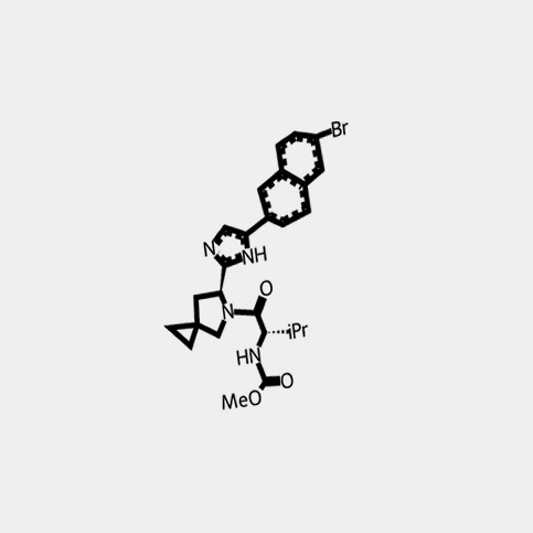 COC(=O)N[C@H](C(=O)N1CC2(CC2)C[C@H]1c1ncc(-c2ccc3cc(Br)ccc3c2)[nH]1)C(C)C